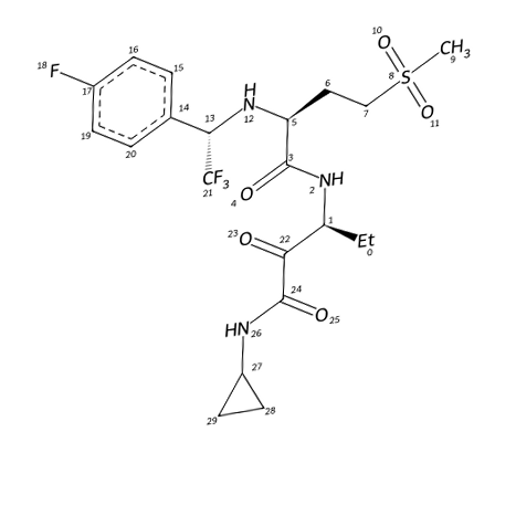 CC[C@H](NC(=O)[C@H](CCS(C)(=O)=O)N[C@@H](c1ccc(F)cc1)C(F)(F)F)C(=O)C(=O)NC1CC1